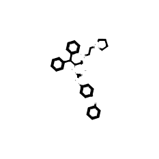 O=C(Nc1ccc(Oc2ccccc2)cc1)N[C@H](C(=O)NCCN1CCCC1)C(c1ccccc1)c1ccccc1